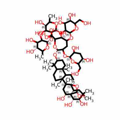 CC1O[C@@H](OC2C(O)[C@@H](O)C(C)O[C@H]2OC2C(O)[C@@H](O)C(CO)O[C@H]2OC2CC(O[C@@H]3OC(CO)[C@H](O)CC3O)[C@H](O[C@H]3CC[C@@]4(C)C(CC[C@]5(C)C4CC[C@]46O[C@H](O)[C@]7(C4CC(C)(C)[C@@H](O)[C@@H]7O)[C@H](O)C[C@]65C)C3(C)C)OC(C(=O)O)[C@H]2O)C(O)C(O)[C@H]1O